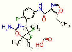 CCc1ocnc1C(=O)Nc1ccc(F)c([C@@]2(C)N=C(N)OC(C)(C)C2(F)F)c1.O=CO